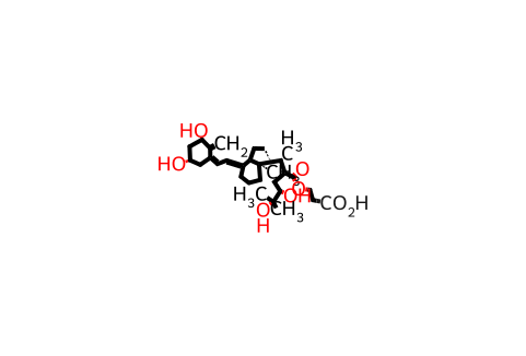 C=C1/C(=C\C=C2CCC[C@@]3(C)C2CC[C@@H]3[C@H](C)C(CC(O)C(C)(C)O)C(=O)OCCC(=O)O)C[C@@H](O)C[C@H]1O